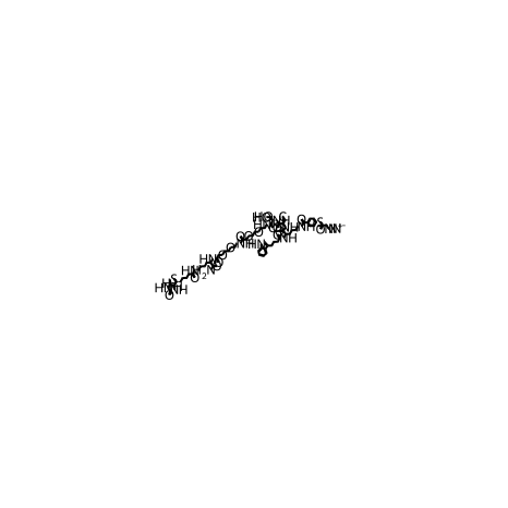 [N-]=[N+]=NCC(=O)Sc1ccc(C(=O)NCCCCC(NC(=O)CCCc2c[nH]c3ccccc23)C(=O)NC(CC(=O)O)C(=O)NC(CO)C(=O)NCCOCCOCC(=O)NCCOCCOCC(=O)NC(CCCCNC(=O)CCCC[C@@H]2SC[C@@H]3NC(=O)N[C@@H]32)C(N)=O)cc1